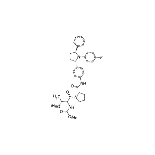 COC(=O)NC(C(=O)N1CCC[C@H]1C(=O)Nc1ccc([C@@H]2CC[C@@H](c3ccccc3)N2c2ccc(F)cc2)cc1)[C@@H](C)OC